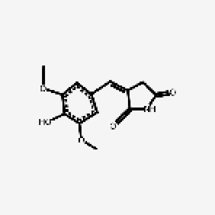 COc1cc(C=C2CC(=O)NC2=O)cc(OC)c1O